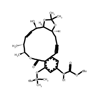 CCN(C(=O)OC(C)(C)C)c1cc2c(c(O[Si](C)(C)C(C)(C)C)c1)C(=O)O[C@@H](C)[C@H](C)/C=C\[C@@H](O)[C@H]1OC(C)(C)O[C@H]1CC#C2